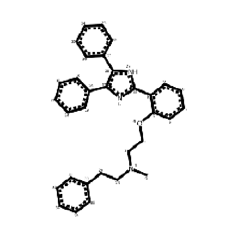 CN(CCOc1ccccc1-c1nc(-c2ccccc2)c(-c2ccccc2)[nH]1)CCc1ccccc1